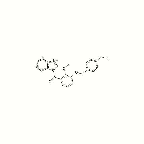 COc1c(OCc2ccc(CI)cc2)cccc1C(=O)c1c[nH]c2ncccc12